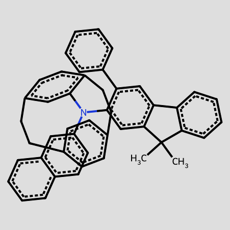 CC1(C)c2ccccc2-c2cc(-c3ccccc3)c(N(c3ccc4ccccc4c3)c3cc4ccc3CCc3ccc(cc3)CC4)cc21